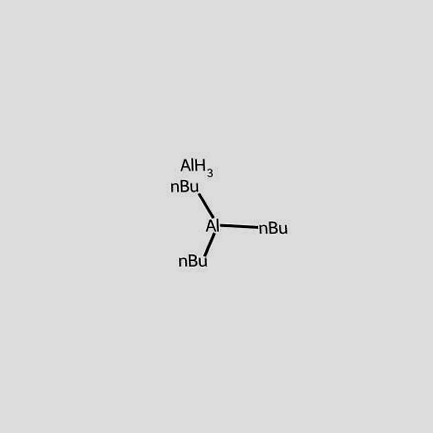 CCC[CH2][Al]([CH2]CCC)[CH2]CCC.[AlH3]